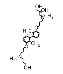 Cc1c(OCCCN(C)CCCO)cccc1-c1cccc(OCCCN(C)C[C@H](O)CO)c1C